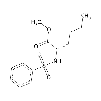 CCCC[C@H](NS(=O)(=O)c1ccccc1)C(=O)OC